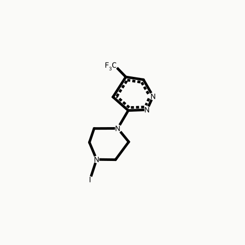 FC(F)(F)c1cnnc(N2CCN(I)CC2)c1